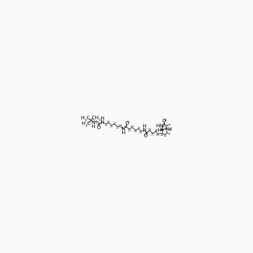 CC(C)(C)NCC(=O)NCCCCCCNC(=O)CCCCCNC(=O)CCCCC1CC[C@@H]2CC(=O)N[C@H]12